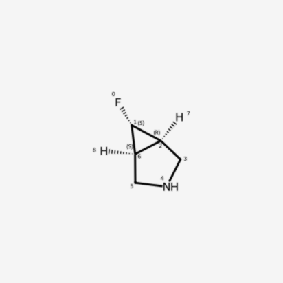 F[C@@H]1[C@H]2CNC[C@@H]12